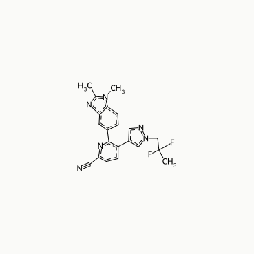 Cc1nc2cc(-c3nc(C#N)ccc3-c3cnn(CC(C)(F)F)c3)ccc2n1C